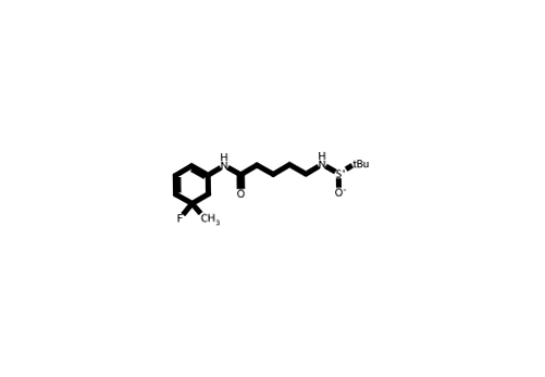 CC1(F)C=CC=C(NC(=O)CCCCN[S+]([O-])C(C)(C)C)C1